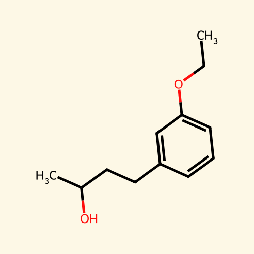 CCOc1cccc(CCC(C)O)c1